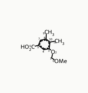 COCOc1cc(C(=O)O)cc(C)c1C